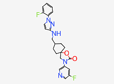 O=C1OC2(CCC(CNc3ccn(-c4ccccc4F)n3)CC2)CN1c1cncc(F)c1